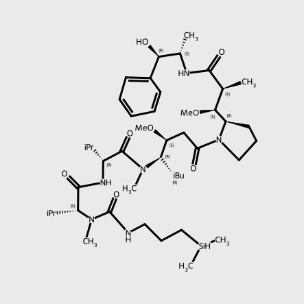 CC[C@@H](C)[C@H]([C@H](CC(=O)N1CCC[C@@H]1[C@@H](OC)[C@H](C)C(=O)N[C@@H](C)[C@H](O)c1ccccc1)OC)N(C)C(=O)[C@H](NC(=O)[C@@H](C(C)C)N(C)C(=O)NCCC[SiH](C)C)C(C)C